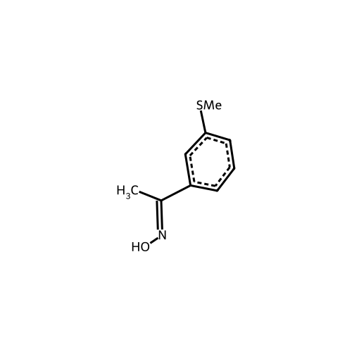 CSc1cccc(C(C)=NO)c1